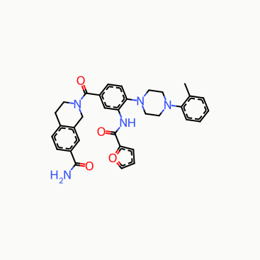 Cc1ccccc1N1CCN(c2ccc(C(=O)N3CCc4ccc(C(N)=O)cc4C3)cc2NC(=O)c2ccco2)CC1